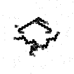 CC(C)CCCC(C)CCCC(C)CCCC(C)CC(=O)OC[C@H](COP(=O)(O)OCCN)OC(=O)CC(C)CCCC(C)CCCC(C)CCCC(C)C.CCCC/C=C\CCCCCCCCOCC(C[N+](C)(C)CCCN)OCCCCCCCC/C=C\CCCC.[Br-]